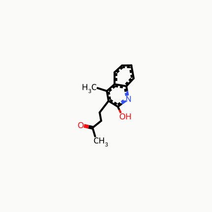 CC(=O)CCc1c(O)nc2ccccc2c1C